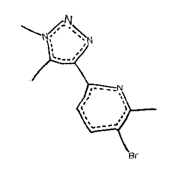 [CH2]c1c(-c2ccc(Br)c(C)n2)nnn1C